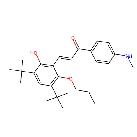 CCCOc1c(C(C)(C)C)cc(C(C)(C)C)c(O)c1C=CC(=O)c1ccc(NC)cc1